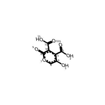 O=C(O)c1c(O)coc(=O)c1C(=O)O